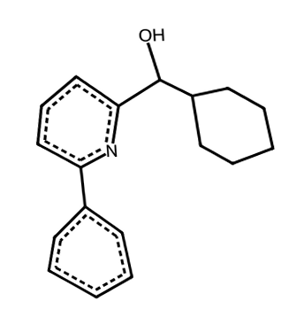 OC(c1cccc(-c2ccccc2)n1)C1CCCCC1